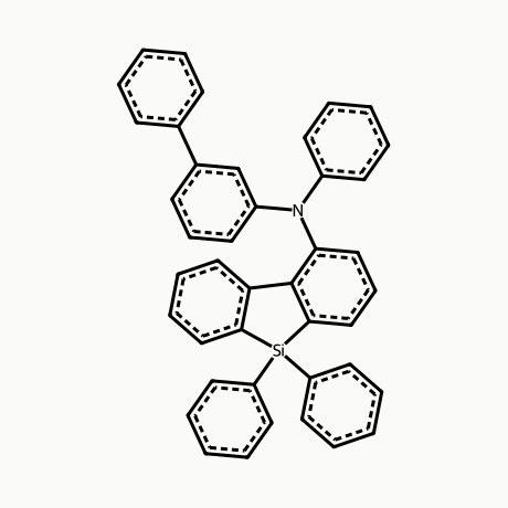 c1ccc(-c2cccc(N(c3ccccc3)c3cccc4c3-c3ccccc3[Si]4(c3ccccc3)c3ccccc3)c2)cc1